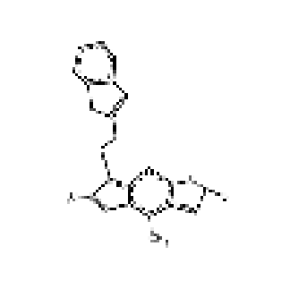 CC1=Cc2c(C)c3c(cc2=C1CCC1=Cc2ccccc2C1)SC(Br)C=3